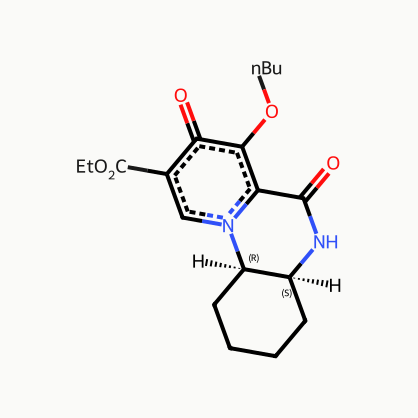 CCCCOc1c2n(cc(C(=O)OCC)c1=O)[C@@H]1CCCC[C@@H]1NC2=O